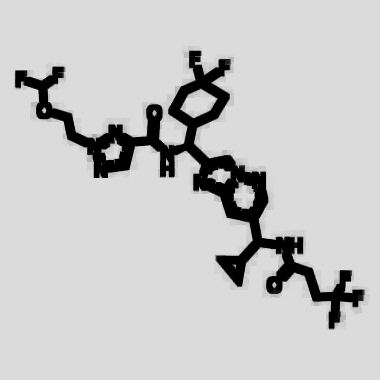 O=C(CCC(F)(F)F)NC(c1cnn2cc([C@@H](NC(=O)c3cnn(CCOC(F)F)n3)C3CCC(F)(F)CC3)nc2c1)C1CC1